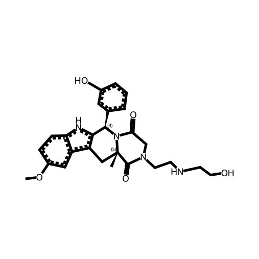 COc1ccc2[nH]c3c(c2c1)C[C@@]1(C)C(=O)N(CCNCCO)CC(=O)N1[C@@H]3c1cccc(O)c1